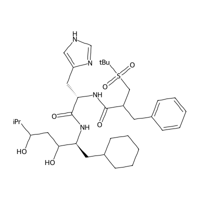 CC(C)C(O)CC(O)[C@H](CC1CCCCC1)NC(=O)[C@H](Cc1c[nH]cn1)NC(=O)C(Cc1ccccc1)CS(=O)(=O)C(C)(C)C